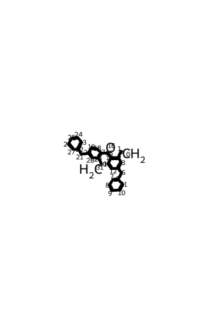 C=Cc1cc(Cc2ccccc2)ccc1C(=O)c1ccc(Cc2ccccc2)cc1C=C